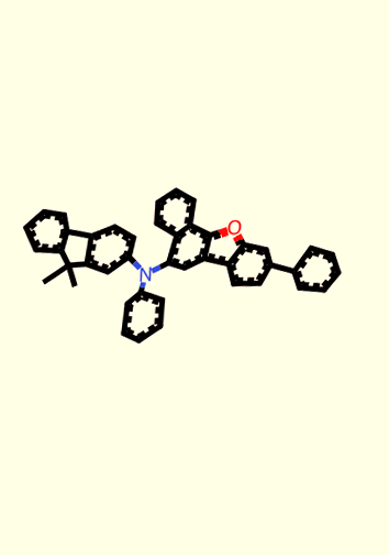 CC1(C)c2ccccc2-c2ccc(N(c3ccccc3)c3cc4c5ccc(-c6ccccc6)cc5oc4c4ccccc34)cc21